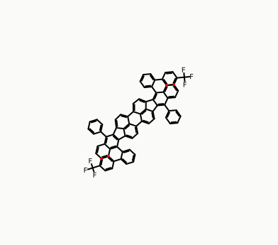 FC(F)(F)c1ccc(-c2ccccc2-c2c3c(c(-c4ccccc4)c4ccccc24)-c2ccc4c5ccc6c7c(ccc(c8ccc-3c2c48)c75)-c2c-6c(-c3ccccc3-c3ccc(C(F)(F)F)cc3)c3ccccc3c2-c2ccccc2)cc1